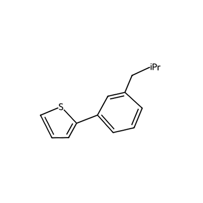 CC(C)Cc1cccc(-c2cccs2)c1